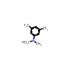 CN(C(=O)O)c1cc(C(F)(F)F)cc(C(F)(F)F)c1